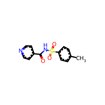 Cc1ccc(S(=O)(=O)NC(=O)c2ccncc2)cc1